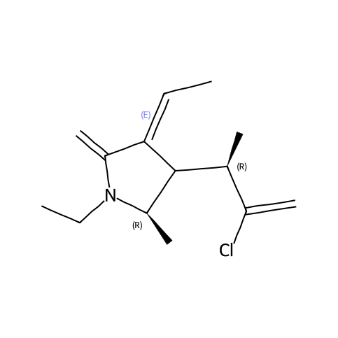 C=C(Cl)[C@H](C)C1/C(=C\C)C(=C)N(CC)[C@@H]1C